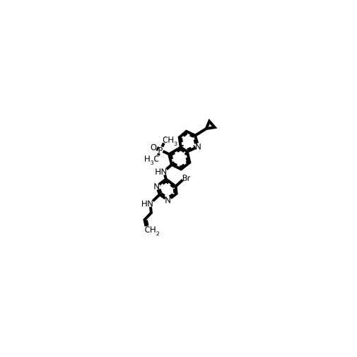 C=CCNc1ncc(Br)c(Nc2ccc3nc(C4CC4)ccc3c2P(C)(C)=O)n1